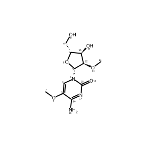 COc1cn([C@@H]2O[C@H](CO)[C@@H](O)[C@H]2OC)c(=O)nc1N